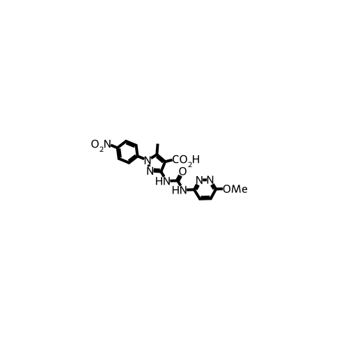 COc1ccc(NC(=O)Nc2nn(-c3ccc([N+](=O)[O-])cc3)c(C)c2C(=O)O)nn1